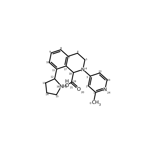 Cc1cc(N2CCc3cccc(C4CCCN4)c3C2C(=O)O)ccn1